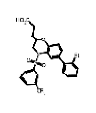 CCc1ccccc1-c1ccc2c(c1)N(S(=O)(=O)c1cccc(C(F)(F)F)c1)CC(CCC(=O)O)O2